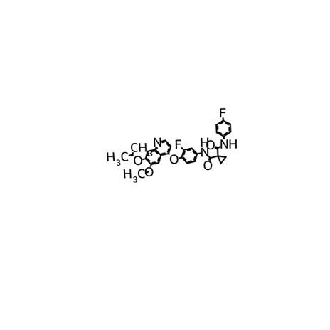 COc1cc2c(Oc3ccc(NC(=O)C4(C(=O)Nc5ccc(F)cc5)CC4)cc3F)ccnc2cc1OC(C)C